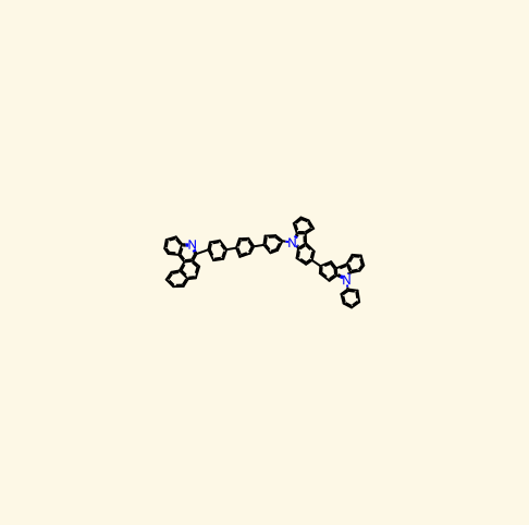 c1ccc(-n2c3ccccc3c3cc(-c4ccc5c(c4)c4ccccc4n5-c4ccc(-c5ccc(-c6ccc(-c7nc8ccccc8c8c7ccc7ccccc78)cc6)cc5)cc4)ccc32)cc1